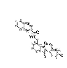 O=C1CCC(N2C(=O)c3cccc(CNC(=O)c4cnc5ccccc5n4)c3C2=O)C(=O)N1